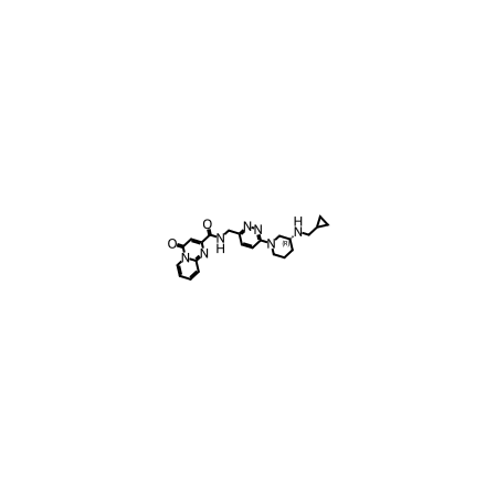 O=C(NCc1ccc(N2CCC[C@@H](NCC3CC3)C2)nn1)c1cc(=O)n2ccccc2n1